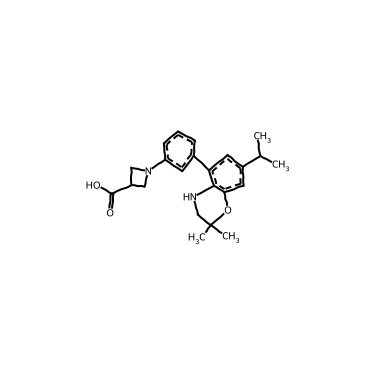 CC(C)c1cc2c(c(-c3cccc(N4CC(C(=O)O)C4)c3)c1)NCC(C)(C)O2